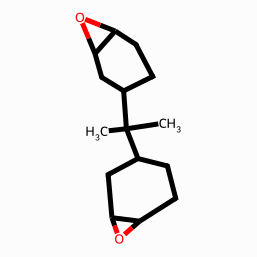 CC(C)(C1CCC2OC2C1)C1CCC2OC2C1